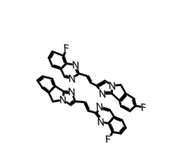 Fc1ccc2c(c1)Cn1cc(C=Cc3ncc4cccc(F)c4n3)nc1-2.Fc1cccc2cnc(C=Cc3cn4c(n3)-c3ccccc3C4)nc12